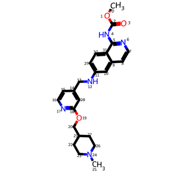 COC(=O)Nc1nccc2cc(NCc3ccnc(OCC4CCN(C)CC4)c3)ccc12